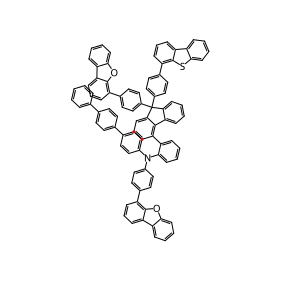 c1ccc(-c2ccc(-c3ccc(N(c4ccc(-c5cccc6c5oc5ccccc56)cc4)c4ccccc4-c4cccc5c4-c4ccccc4C5(c4ccc(-c5cccc6c5oc5ccccc56)cc4)c4ccc(-c5cccc6c5sc5ccccc56)cc4)cc3)cc2)cc1